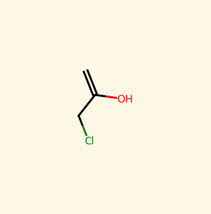 C=C(O)CCl